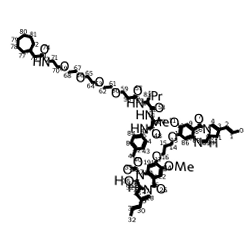 C/C=C/C1=CN2C(=O)c3cc(OC)c(OCCCOc4cc5c(cc4OC)C(=O)N4C=C(/C=C/C)C[C@H]4[C@H](O)N5C(=O)OCc4ccc(NC(=O)[C@H](C)NC(=O)C(NC(=O)CCOCCOCCOCCOCCNC(=O)CC5CCCCCC5)C(C)C)cc4)cc3N=C[C@@H]2C1